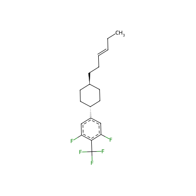 CC/C=C/CC[C@H]1CC[C@H](c2cc(F)c(C(F)(F)F)c(F)c2)CC1